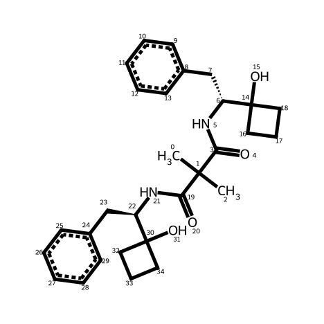 CC(C)(C(=O)N[C@H](Cc1ccccc1)C1(O)CCC1)C(=O)N[C@H](Cc1ccccc1)C1(O)CCC1